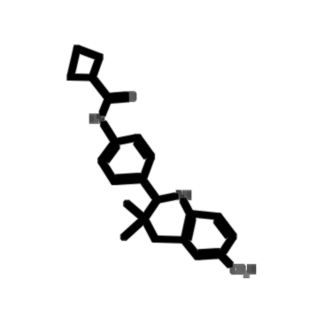 CC1(C)Cc2cc(C(=O)O)ccc2NC1c1ccc(NC(=O)C2CCC2)cc1